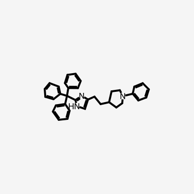 c1ccc(N2CCC(CCc3c[nH]c(C(c4ccccc4)(c4ccccc4)c4ccccc4)n3)CC2)cc1